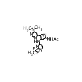 CC(=O)Nc1cc(Nc2ccnc(C(C)(F)F)n2)c(-c2cc(N(C)C)ncn2)cn1